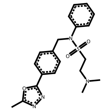 Cc1nnc(-c2ccc(CN(c3ccccc3)S(=O)(=O)CCN(C)C)cc2)o1